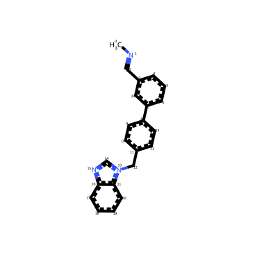 C/N=C/c1cccc(-c2ccc(Cn3cnc4ccccc43)cc2)c1